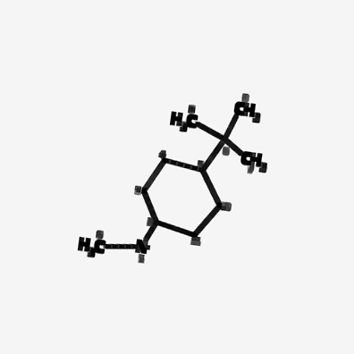 C[N]C1CCC(C(C)(C)C)CC1